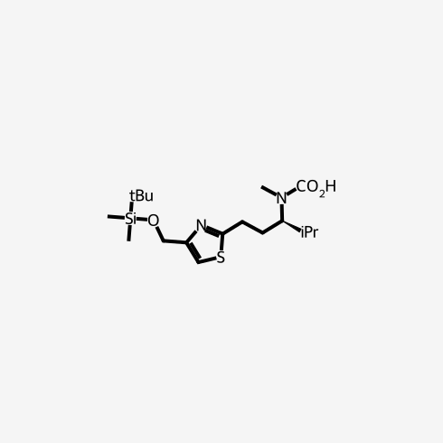 CC(C)[C@@H](CCc1nc(CO[Si](C)(C)C(C)(C)C)cs1)N(C)C(=O)O